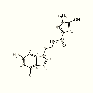 Cn1nc(C(=O)NCCn2cnc3c(Cl)nc(N)nc32)cc1O